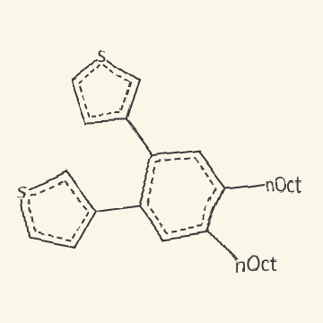 CCCCCCCCc1cc(-c2ccsc2)c(-c2ccsc2)cc1CCCCCCCC